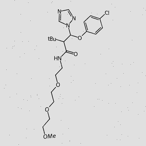 COCCOCCOCCNC(=O)C(C(Oc1ccc(Cl)cc1)n1cncn1)C(C)(C)C